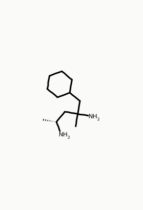 C[C@@H](N)CC(C)(N)CC1CCCCC1